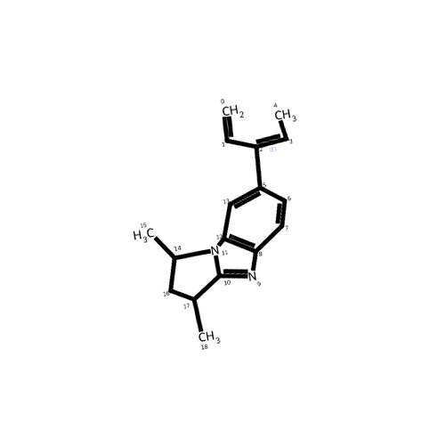 C=C/C(=C\C)c1ccc2nc3n(c2c1)C(C)CC3C